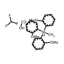 COc1cccc[c]1[SbH]([CH3])([c]1ccccc1OC)[c]1ccccc1OC.FC(F)F.O=C(O)O